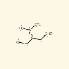 C[SiH](C)C(CCl)CC=O